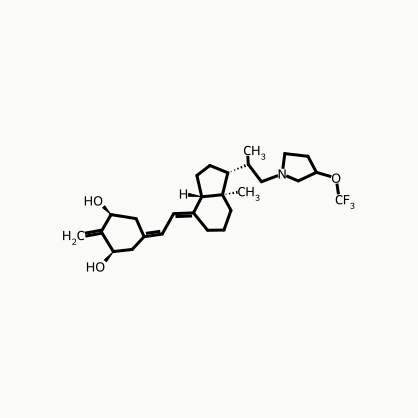 C=C1[C@H](O)C/C(=C/C=C2CCC[C@]3(C)[C@@H](C(C)CN4CCC(OC(F)(F)F)C4)CC[C@@H]23)C[C@@H]1O